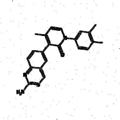 Cc1ccc(-n2ccc(C)c(-c3ccc4nc(N)ncc4c3)c2=O)cc1C